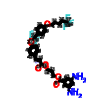 Nc1cc(N)cc(C(=O)OCCCOC(=O)/C=C/c2ccc(OC(F)(F)c3ccc(OCCCCC(F)(F)F)cc3)cc2)c1